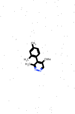 COc1cnnc(C)c1-c1ccc(C)cc1C